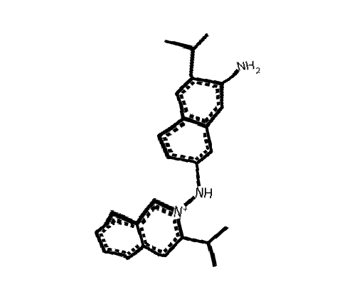 CC(C)c1cc2ccc(N[n+]3cc4ccccc4cc3C(C)C)cc2cc1N